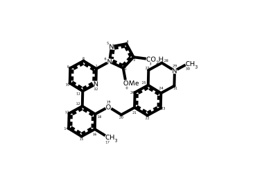 COc1c(C(=O)O)cnn1-c1cccc(-c2cccc(C)c2OCc2ccc3c(c2)CCN(C)C3)n1